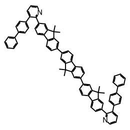 CC1(C)c2cc(-c3ccc4c(c3)C(C)(C)c3cc(-c5ncccc5-c5ccc(-c6ccccc6)cc5)ccc3-4)ccc2-c2ccc(-c3ccc4c(c3)C(C)(C)c3cc(-c5ncccc5-c5ccc(-c6ccccc6)cc5)ccc3-4)cc21